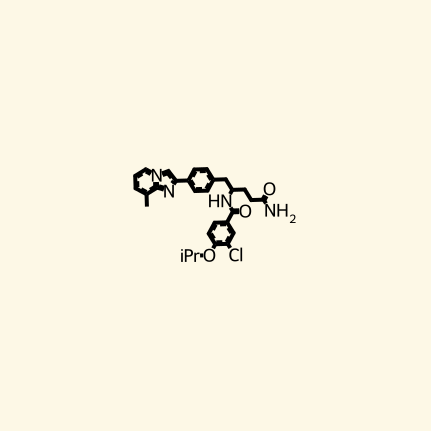 Cc1cccn2cc(-c3ccc(CC(CCC(N)=O)NC(=O)c4ccc(OC(C)C)c(Cl)c4)cc3)nc12